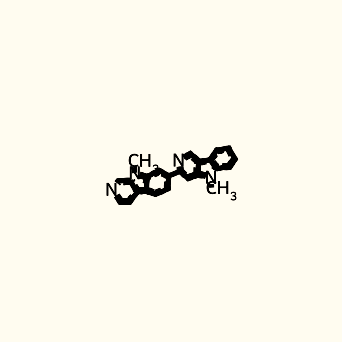 Cn1c2cnccc2c2ccc(-c3cc4c(cn3)c3ccccc3n4C)cc21